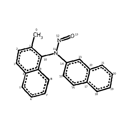 Cc1ccc2ccccc2c1N(N=O)c1ccc2ccccc2c1